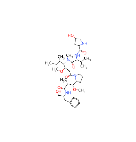 CC[C@H](C)[C@@H]([C@@H](CC(=O)N1CCC[C@H]1[C@H](OC)[C@@H](C)C(=O)N[C@H](CO)Cc1ccccc1)OC)N(C)C(=O)[C@@H](NC(=O)C1CC(O)CN1)C(C)C